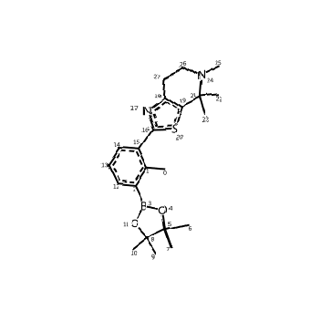 Cc1c(B2OC(C)(C)C(C)(C)O2)cccc1-c1nc2c(s1)C(C)(C)N(C)CC2